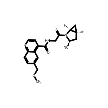 N#C[C@@H]1C[C@@H]2C[C@@H]2N1C(=O)CNC(=O)c1ccnc2ccc(COC(F)(F)F)cc12